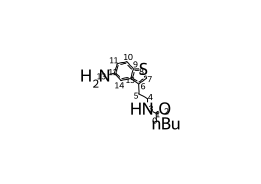 CCCCC(=O)NCCc1csc2ccc(N)cc12